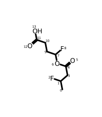 CC(F)CC(=O)OC(F)CCC(=O)O